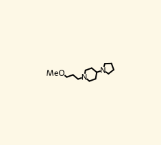 COCCCN1CCC(N2CCCC2)CC1